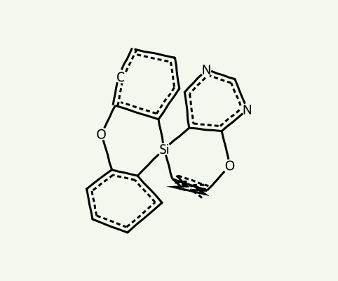 c1ccc2c(c1)Oc1ccccc1[Si]21c2ccccc2Oc2ncncc21